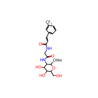 COC1OC(CO)C(O)C(O)C1NC(=O)CNC(=O)/C=C/c1cccc(C(F)(F)F)c1